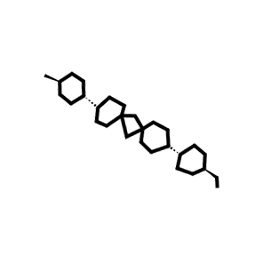 CC[C@H]1CC[C@H](C2CCC3(CC2)CC2(CCC([C@H]4CC[C@H](C)CC4)CC2)C3)CC1